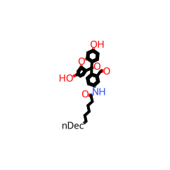 CCCCCCCCCCCCCCCC(=O)Nc1ccc2c(c1)C(=O)OC21c2ccc(O)cc2Oc2cc(O)ccc21